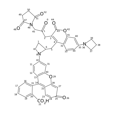 O=C(Cc1c(CC2CCN2c2ccc3c(-c4ccccc4C(=O)O)c4ccc(=O)cc-4oc3c2)c2ccc(N3CCC3)cc2oc1=O)CN1C(=O)CCC1=O